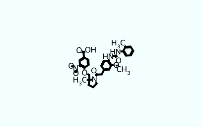 COc1cc(CC(=O)N2CCCC2(C)COc2ccc(C(=O)O)cc2[N+](=O)[O-])ccc1NC(=O)Nc1ccccc1C